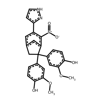 COc1cc(C2(c3ccc(O)c(OC)c3)Cc3cc(-c4cc[nH]n4)c([N+](=O)[O-])c2c3)ccc1O